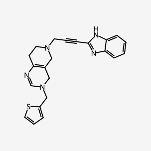 C(#Cc1nc2ccccc2[nH]1)CN1CCC2=C(CN(Cc3cccs3)C=N2)C1